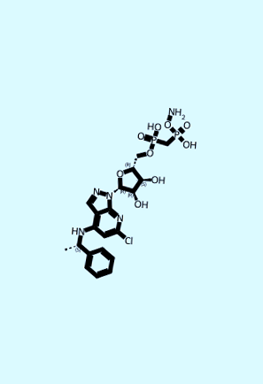 C[C@H](Nc1cc(Cl)nc2c1cnn2[C@@H]1O[C@H](COP(=O)(O)CP(=O)(O)ON)[C@@H](O)[C@H]1O)c1ccccc1